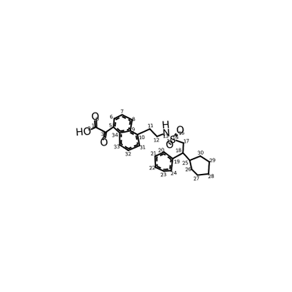 O=C(O)C(=O)c1cccc2c(CCNS(=O)(=O)CC(c3ccccc3)C3CCCCC3)cccc12